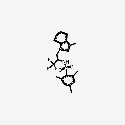 Cc1cc(C)c(S(=O)(=O)NC(Cn2cc(C)c3ccccc32)C(F)(F)F)c(C)c1